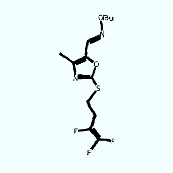 Cc1nc(SCCC(F)=C(F)F)oc1C=NOCC(C)C